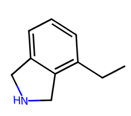 CCc1cccc2c1CNC2